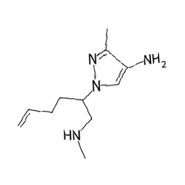 C=CCCC(CNC)n1cc(N)c(C)n1